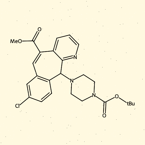 COC(=O)C1=Cc2cc(Cl)ccc2C(N2CCN(C(=O)OC(C)(C)C)CC2)c2ncccc21